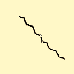 CCCCC[P][P]CCCCC